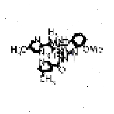 COc1cccc(OC)c1/N=C(/NNC(=O)c1cncc(C)c1)NS(=O)(=O)C(C)C(C)c1ncc(C)cn1